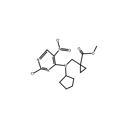 COC(=O)C1(CN(c2nc(Cl)ncc2[N+](=O)[O-])C2CCCC2)CC1